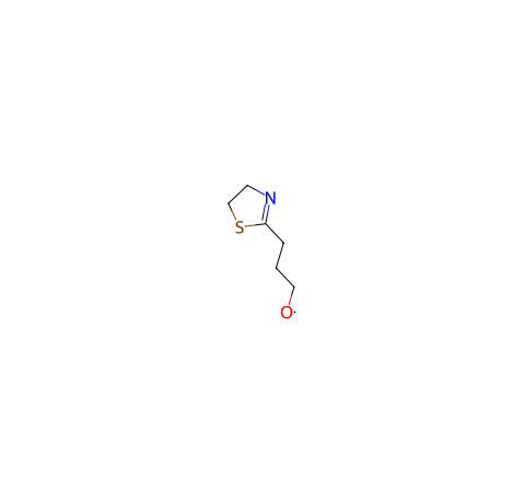 [O]CCCC1=NCCS1